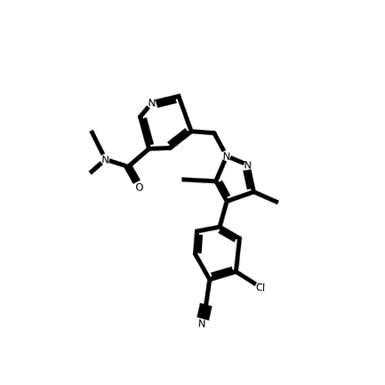 Cc1nn(Cc2cncc(C(=O)N(C)C)c2)c(C)c1-c1ccc(C#N)c(Cl)c1